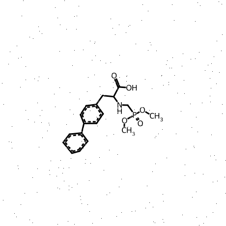 COP(=O)(CNC(Cc1ccc(-c2ccccc2)cc1)C(=O)O)OC